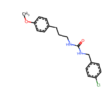 COc1ccc(CCCNC(=O)NCc2ccc(Cl)cc2)cc1